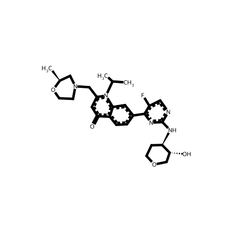 CC(C)n1c(CN2CCO[C@@H](C)C2)cc(=O)c2ccc(-c3nc(N[C@@H]4CCOC[C@H]4O)ncc3F)cc21